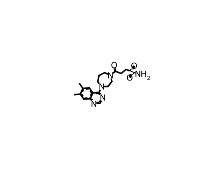 Cc1cc2ncnc(N3CCCN(C(=O)CCS(N)(=O)=O)CC3)c2cc1C